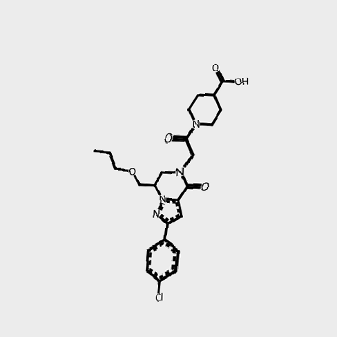 CCCOCC1CN(CC(=O)N2CCC(C(=O)O)CC2)C(=O)c2cc(-c3ccc(Cl)cc3)nn21